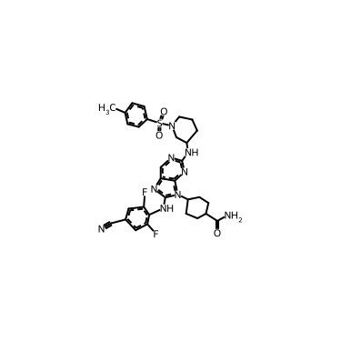 Cc1ccc(S(=O)(=O)N2CCCC(Nc3ncc4nc(Nc5c(F)cc(C#N)cc5F)n(C5CCC(C(N)=O)CC5)c4n3)C2)cc1